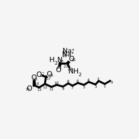 CCCCCCCCCCCCC(CC(=O)[O-])C(=O)[O-].NC(=O)C(N)=O.[Na+].[Na+]